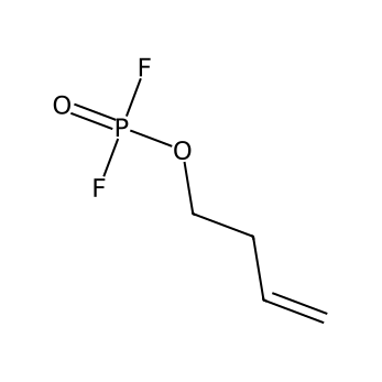 C=CCCOP(=O)(F)F